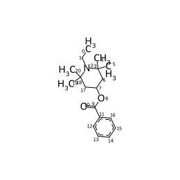 CCN1C(C)(C)CC(OC(=O)c2ccccc2)CC1(C)C